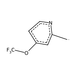 [CH2]c1cc(OC(F)(F)F)ccn1